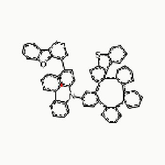 c1ccc(-c2ccccc2N(c2ccc(-c3cccc4c3oc3ccccc34)cc2)c2ccc3c4ccccc4c4ccccc4c4ccccc4c4c(ccc5sc6ccccc6c54)c3c2)cc1